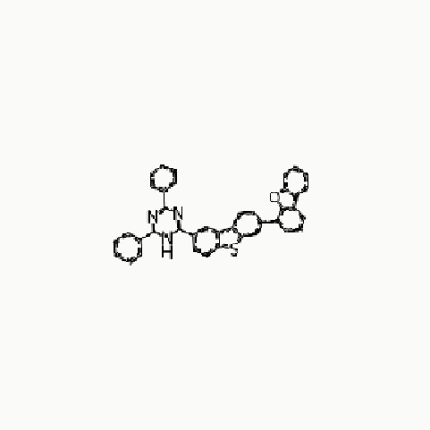 c1ccc(C2=NC(c3ccccc3)NC(c3ccc4sc5cc(-c6cccc7c6oc6ccccc67)ccc5c4c3)=N2)cc1